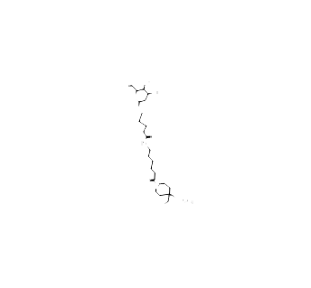 COCC1(CO)CCN(C(=O)CCCCCNC(=O)CCCCOC2CC(O)C(O)C(CO)O2)CC1